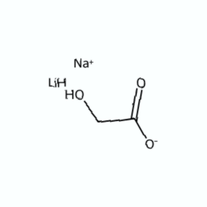 O=C([O-])CO.[LiH].[Na+]